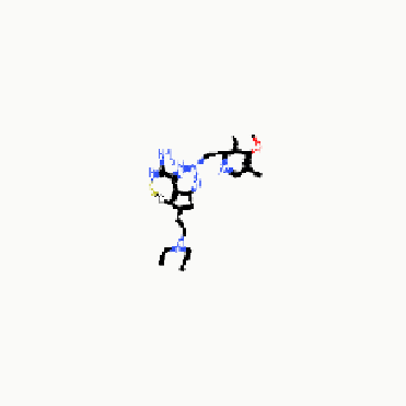 CCN(CC)CCc1cc2nn(Cc3ncc(C)c(OC)c3C)nc3c-2c1CSN=C3N